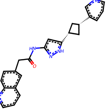 O=C(Cc1ccc2ncccc2c1)Nc1cc([C@H]2C[C@@H](c3cccnc3)C2)[nH]n1